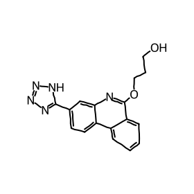 OCCCOc1nc2cc(-c3nnn[nH]3)ccc2c2ccccc12